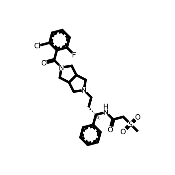 CS(=O)(=O)CC(=O)N[C@@H](CCN1CC2CN(C(=O)c3c(F)cccc3Cl)CC2C1)c1ccccc1